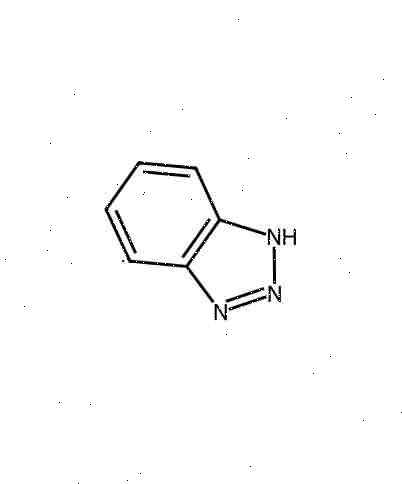 [c]1cccc2[nH]nnc12